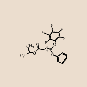 CC(C)OC(=O)CNP(Oc1ccccc1)Oc1c(F)c(F)c(F)c(F)c1F